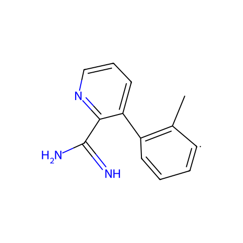 Cc1[c]cccc1-c1cccnc1C(=N)N